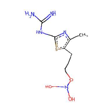 Cc1nc(NC(=N)N)sc1CCON(O)O